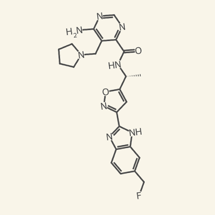 C[C@@H](NC(=O)c1ncnc(N)c1CN1CCCC1)c1cc(-c2nc3ccc(CF)cc3[nH]2)no1